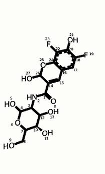 O=C(NC1C(O)OC(CO)[C@H](O)C1O)C1=Cc2cc(F)c(O)c(F)c2OC1O